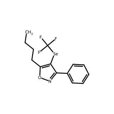 CCCCc1onc(-c2ccccc2)c1[Se]C(F)(F)F